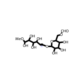 COC(O)C(O)C(O)C(O)/C=C/OC1OC(COC=O)C(O)C(O)C1O